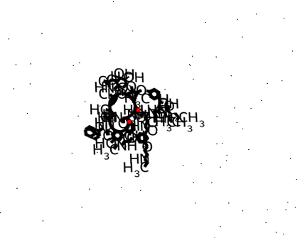 CCNCCOc1cc(OCCNCC)cc(C(=O)NC(=O)C[C@@H]2NC(=O)[C@H](NC(=O)[C@@H](CC(C)C)NC)[C@H](O)c3ccc(c(C)c3)Oc3cc4cc(c3O[C@@H]3O[C@@H]5CNC(=O)O[C@H]5[C@H](O)[C@H]3O)Oc3ccc(cc3Cl)[C@@H](O)[C@@H]3NC(=O)[C@H](NC(=O)[C@@H]4NC2=O)c2ccc(O)c(c2)-c2c(C)cc(O)cc2[C@@H](C(=O)NC2C4CC5CC(C4)CC2C5)NC3=O)c1